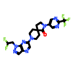 O=C1N(c2cnc(C(F)(F)F)nc2)CCC12CCN(c1cnc3cnn(CC(F)F)c3n1)CC2